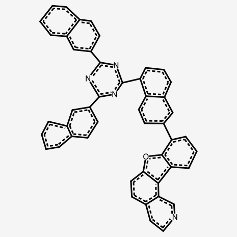 c1ccc2cc(-c3nc(-c4ccc5ccccc5c4)nc(-c4cccc5cc(-c6cccc7c6oc6ccc8ccncc8c67)ccc45)n3)ccc2c1